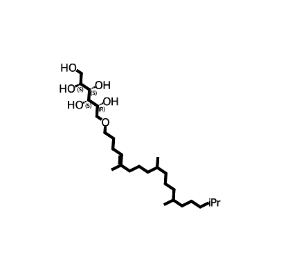 CC(=CCCCOC[C@@H](O)[C@H](O)[C@@H](O)[C@@H](O)CO)CCCC(C)CCCC(C)CCCC(C)C